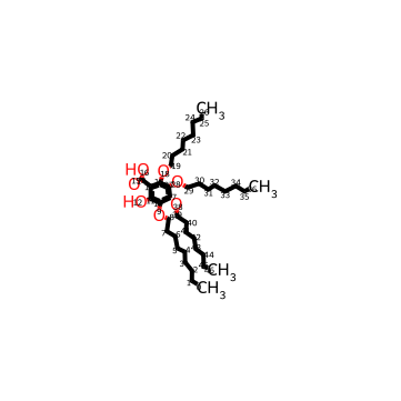 CCCCCCCCCOc1c(O)c(C(=O)O)c(OCCCCCCCC)c(OCCCCCCCC)c1OCCCCCCCC